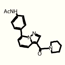 CC(=O)Nc1ccc(-c2cccc3c(C(=O)N4CCCCC4)cnn23)cc1